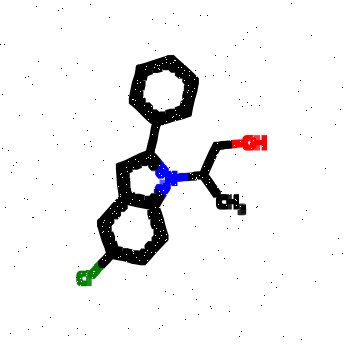 CC(CO)n1c(-c2ccccc2)cc2cc(Cl)ccc21